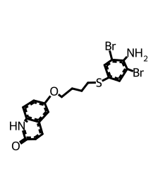 Nc1c(Br)cc(SCCCCOc2ccc3[nH]c(=O)ccc3c2)cc1Br